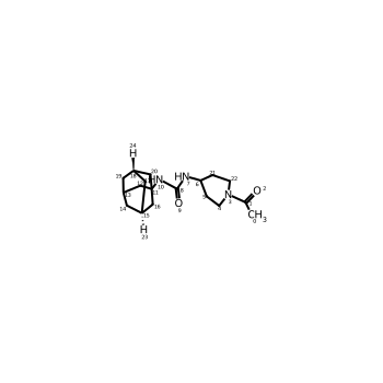 CC(=O)N1CCC(NC(=O)NC23CC4C[C@H](C2)C[C@H](C4)C3)CC1